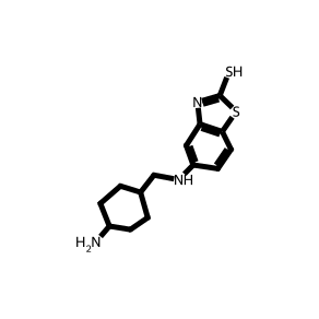 NC1CCC(CNc2ccc3sc(S)nc3c2)CC1